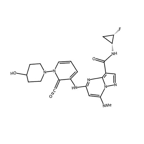 CNc1cc(NC2=CC=CN(N3CCC(O)CC3)C2=C=O)nc2c(C(=O)N[C@@H]3C[C@@H]3F)cnn12